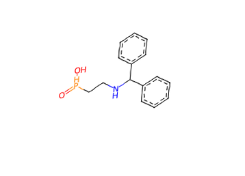 O=[PH](O)CCNC(c1ccccc1)c1ccccc1